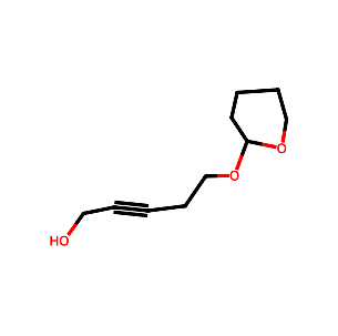 OCC#CCCOC1CCCCO1